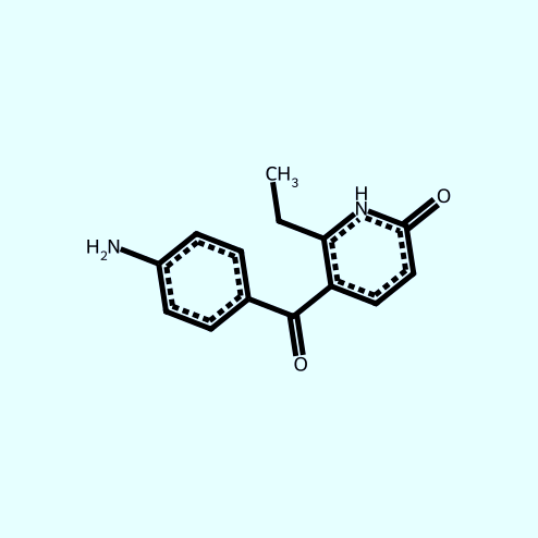 CCc1[nH]c(=O)ccc1C(=O)c1ccc(N)cc1